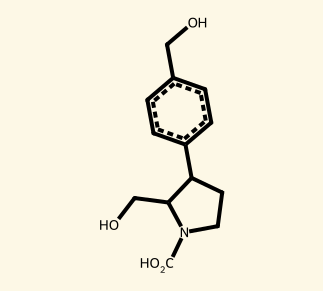 O=C(O)N1CCC(c2ccc(CO)cc2)C1CO